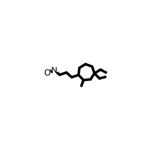 CCC1(CC)CCCC(CCCN=O)C(C)C1